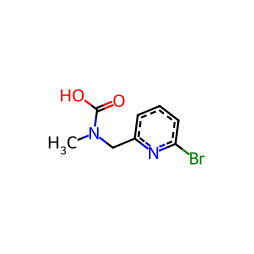 CN(Cc1cccc(Br)n1)C(=O)O